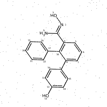 N/C(=N\O)c1cccc(-c2ccc(O)cc2)c1-c1ccccc1